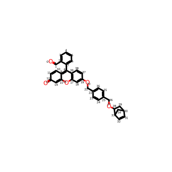 O=Cc1ccccc1-c1c2ccc(=O)cc-2oc2cc(OCc3ccc(COC4CC5C=CC4C5)cc3)ccc12